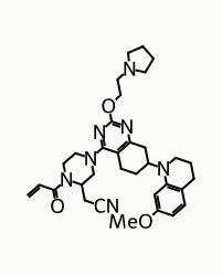 C=CC(=O)N1CCN(c2nc(OCCN3CCCC3)nc3c2CCC(N2CCCc4ccc(OC)cc42)C3)CC1CC#N